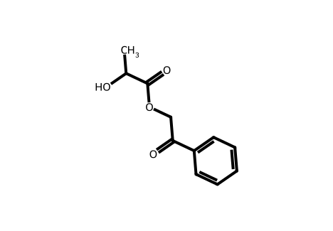 CC(O)C(=O)OCC(=O)c1ccccc1